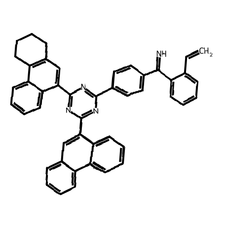 C=Cc1ccccc1C(=N)c1ccc(-c2nc(-c3cc4c(c5ccccc35)CCCC4)nc(-c3cc4ccccc4c4ccccc34)n2)cc1